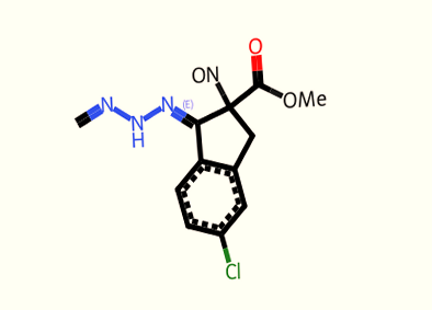 C=NN/N=C1\c2ccc(Cl)cc2CC1(N=O)C(=O)OC